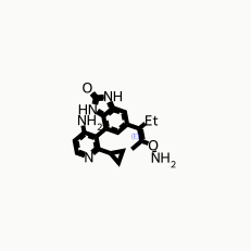 CC/C(=C(/C)ON)c1cc(-c2c(N)ccnc2C2CC2)c2[nH]c(=O)[nH]c2c1